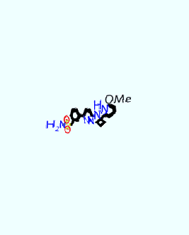 COc1cccc(C2(Nc3ccc(-c4cccc(CS(N)(=O)=O)c4)nn3)CCC2)n1